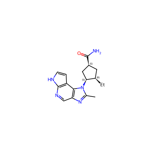 CC[C@@H]1C[C@H](C(N)=O)C[C@@H]1n1c(C)nc2cnc3[nH]ccc3c21